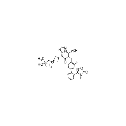 CCCc1c(Cc2ccc(-c3ccccc3-c3noc(=O)[nH]3)cc2F)c(=O)n([C@H]2C[C@H](OCC(C)(C)O)C2)c2ncnn12.[KH]